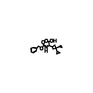 O=C(NC(C(=O)O)C1CC(C2CC2)(C2CC2)C1)OCc1ccccc1